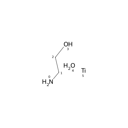 NCCO.O.[Ti]